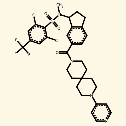 CN(C1CCc2ccc(C(=O)N3CCC4(CC3)CCN(c3ccncc3)CC4)cc21)S(=O)(=O)c1c(Cl)cc(C(F)(F)F)cc1Cl